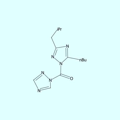 CCCCc1nc(CC(C)C)nn1C(=O)n1cncn1